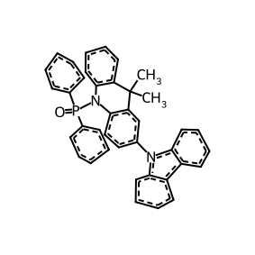 CC1(C)c2ccccc2N(P(=O)(c2ccccc2)c2ccccc2)c2ccc(-n3c4ccccc4c4ccccc43)cc21